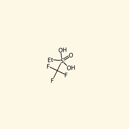 CCS(=O)(O)(O)C(F)(F)F